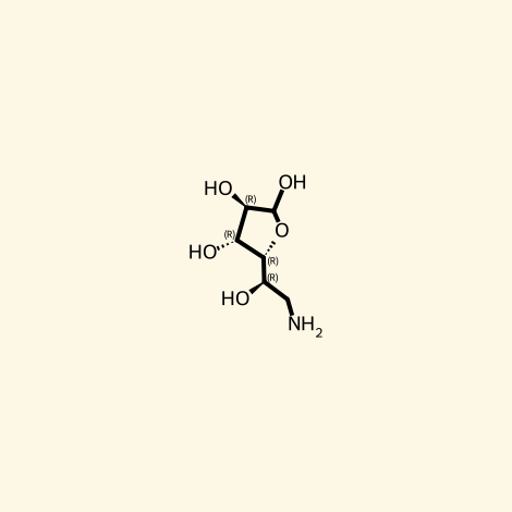 NC[C@@H](O)[C@H]1OC(O)[C@H](O)[C@H]1O